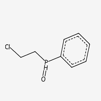 O=[PH](CCCl)c1ccccc1